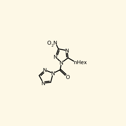 CCCCCCc1nc([N+](=O)[O-])nn1C(=O)n1cncn1